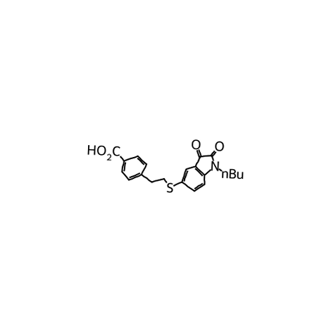 CCCCN1C(=O)C(=O)c2cc(SCCc3ccc(C(=O)O)cc3)ccc21